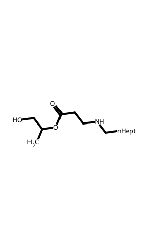 CCCCCCCCNCCC(=O)OC(C)CO